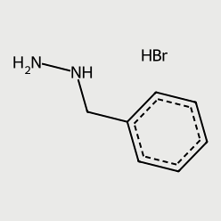 Br.NNCc1ccccc1